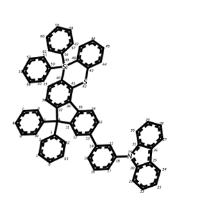 c1ccc(C2(c3ccccc3)c3cc(-c4cccc(-n5c6ccccc6c6ccccc65)c4)ccc3-c3c2ccc2c3Sc3ccccc3[Si]2(c2ccccc2)c2ccccc2)cc1